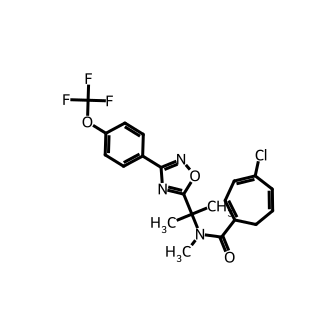 CN(C(=O)C1=CC=C(Cl)C=CC1)C(C)(C)c1nc(-c2ccc(OC(F)(F)F)cc2)no1